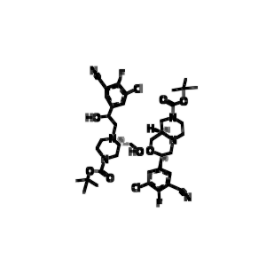 CC(C)(C)OC(=O)N1CCN(CC(O)c2cc(Cl)c(F)c(C#N)c2)[C@H](CO)C1.CC(C)(C)OC(=O)N1CCN2C[C@@H](c3cc(Cl)c(F)c(C#N)c3)OC[C@@H]2C1